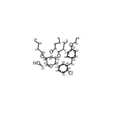 CCCCO[C@@H]1[C@@H](OCCCC)[C@H](c2ccc(Cl)c(Cc3ccc(OCC)cc3)c2)O[C@H](CO)[C@H]1OCCCC